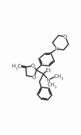 C=C1COC(c2ccc(N3CCOCC3)cc2)(C(CC)(Cc2ccccc2)N(C)C)O1